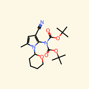 Cc1cc(C#N)c(N(C(=O)OC(C)(C)C)C(=O)OC(C)(C)C)n1C1CCCCO1